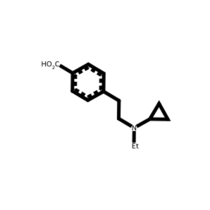 CCN(CCc1ccc(C(=O)O)cc1)C1CC1